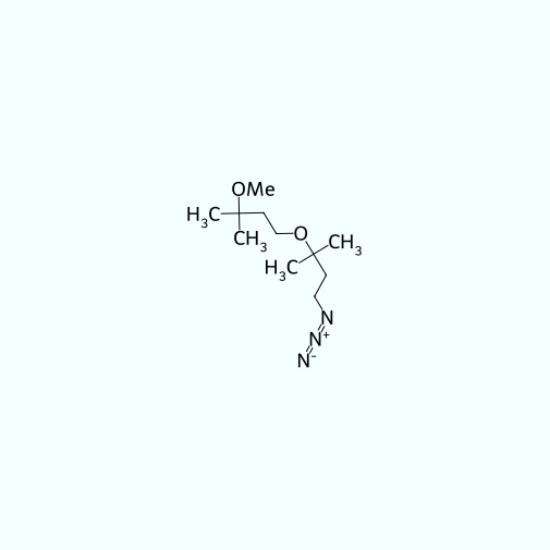 COC(C)(C)CCOC(C)(C)CCN=[N+]=[N-]